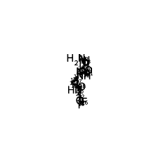 Nc1nccc(-c2cnc(NCc3cccc(C(=O)NCCCOC(F)F)c3)c3c2OCC3)n1